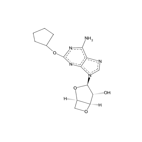 Nc1nc(OC2CCCC2)nc2c1ncn2[C@@H]1O[C@@H]2CO[C@@H]2[C@H]1O